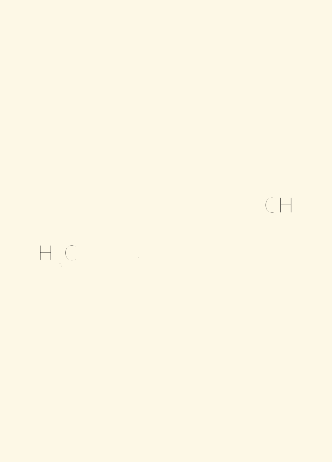 C#CC[CH]C